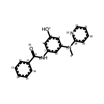 CN(c1cc(O)cc(NC(=O)c2ccccc2)c1)c1ccccn1